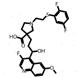 COc1ccc2ncc(F)c(C(O)CCC3(C(=O)O)CCN(CCSc4cc(F)ccc4F)C3)c2c1